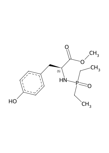 CCP(=O)(CC)N[C@@H](Cc1ccc(O)cc1)C(=O)OC